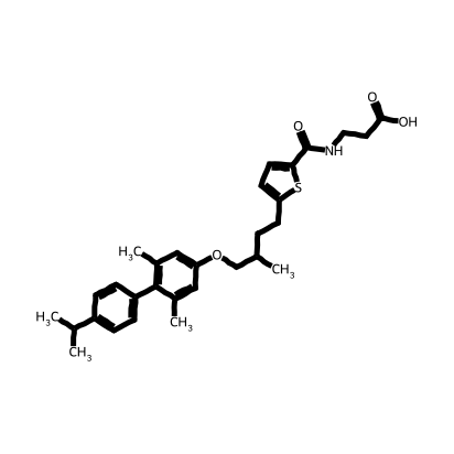 Cc1cc(OCC(C)CCc2ccc(C(=O)NCCC(=O)O)s2)cc(C)c1-c1ccc(C(C)C)cc1